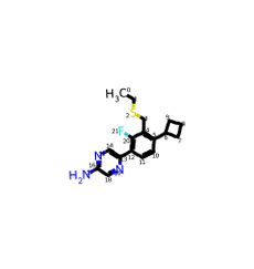 CCSCc1c(C2CCC2)ccc(-c2cnc(N)cn2)c1F